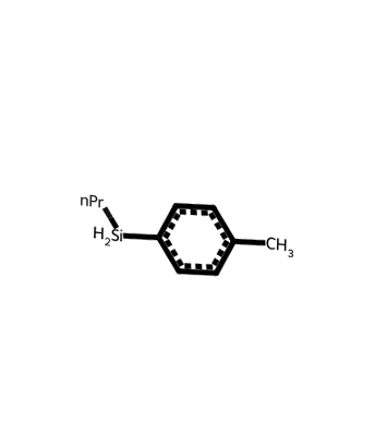 [CH2]CC[SiH2]c1ccc(C)cc1